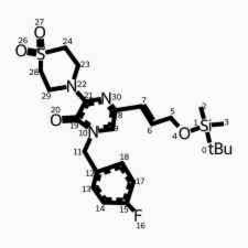 CC(C)(C)[Si](C)(C)OC/C=C/c1cn(Cc2ccc(F)cc2)c(=O)c(N2CCS(=O)(=O)CC2)n1